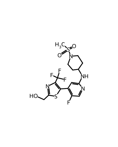 CS(=O)(=O)N1CCC(Nc2cc(-c3sc(CO)nc3C(F)(F)F)c(F)cn2)CC1